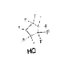 Cl.FC1C(F)(F)C(F)(F)C(F)(F)C1(F)F